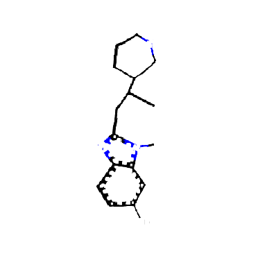 CC(Cc1nc2ccc(C(C)(C)C)cc2n1C)C1CCCNC1